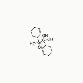 O[Si](O)(C1C=CCCC1)[Si](O)(O)C1C=CCCC1